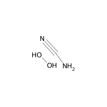 N#CN.OO